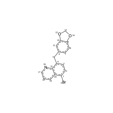 Brc1ccc(Cc2ccc3c(c2)OCO3)c2ncccc12